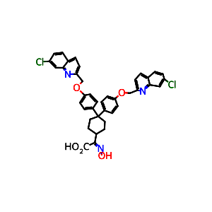 O=C(O)C(=NO)C1CCC(c2ccc(OCc3ccc4ccc(Cl)cc4n3)cc2)(c2ccc(OCc3ccc4ccc(Cl)cc4n3)cc2)CC1